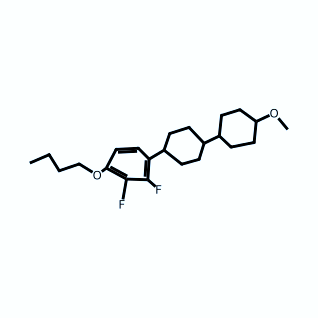 CCCCOc1ccc(C2CCC(C3CCC(OC)CC3)CC2)c(F)c1F